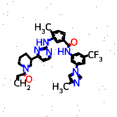 C=CC(=O)N1CCCC(c2ccnc(Nc3cc(C(=O)Nc4cc(-n5cnc(C)c5)cc(C(F)(F)F)c4)ccc3C)n2)C1